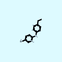 CCc1ccc(Oc2ccc(Br)cn2)cc1